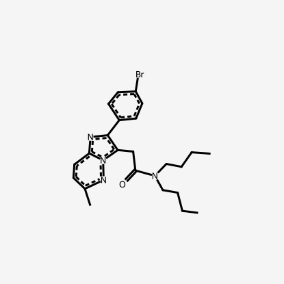 CCCCN(CCCC)C(=O)Cc1c(-c2ccc(Br)cc2)nc2ccc(C)nn12